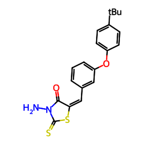 CC(C)(C)c1ccc(Oc2cccc(C=C3SC(=S)N(N)C3=O)c2)cc1